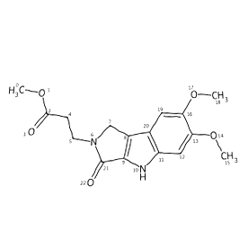 COC(=O)CCN1Cc2c([nH]c3cc(OC)c(OC)cc23)C1=O